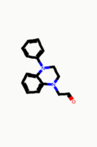 O=CCN1CCN(c2ccccc2)c2ccccc21